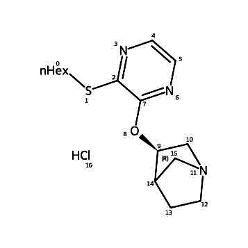 CCCCCCSc1nccnc1O[C@H]1CN2CCC1C2.Cl